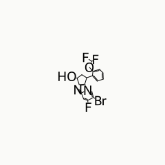 O[C@@H]1CC(c2ccccc2OC(F)F)c2c1nc1cc(F)c(Br)cn21